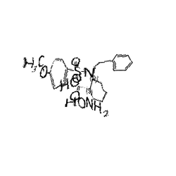 COc1ccc(S(=O)(=O)N(Cc2ccccc2)[C@@H]2CCCC[C@@H]2C(=O)O)cc1.NO